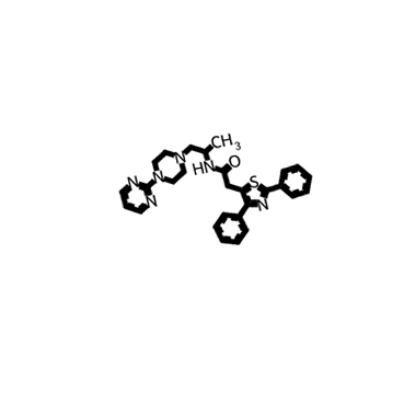 CC(CN1CCN(c2ncccn2)CC1)NC(=O)Cc1sc(-c2ccccc2)nc1-c1ccccc1